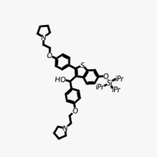 CC(C)[Si](Oc1ccc2c(C(O)c3ccc(OCCN4CCCC4)cc3)c(-c3ccc(OCCN4CCCC4)cc3)sc2c1)(C(C)C)C(C)C